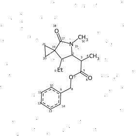 CCC1C(C(C)C(=O)OCc2ccccc2)N(C)C(=O)C12CC2